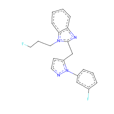 FCCCn1c(Cc2ccnn2-c2cccc(F)c2)nc2ccccc21